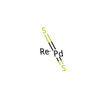 [Re].[S]=[Pd]=[S]